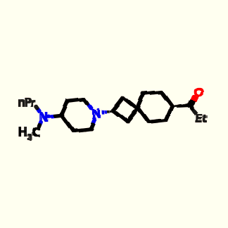 CCCN(C)C1CCN([C@H]2CC3(CC[C@H](C(=O)CC)CC3)C2)CC1